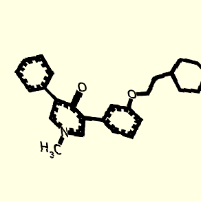 Cn1cc(-c2ccccc2)c(=O)c(-c2cccc(OCCC3CCCCC3)c2)c1